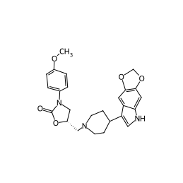 COc1ccc(N2C[C@H](CN3CCC(c4c[nH]c5cc6c(cc45)OCO6)CC3)OC2=O)cc1